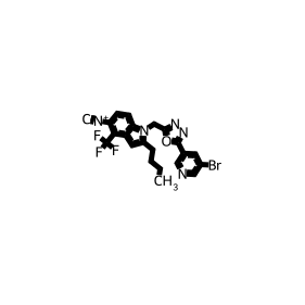 [C-]#[N+]c1ccc2c(cc(CCCC)n2Cc2nnc(-c3cncc(Br)c3)o2)c1C(F)(F)F